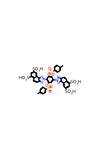 Cc1ccc(S(=O)(=O)Oc2cc(-n3nc4ccc5c(S(=O)(=O)O)cc(S(=O)(=O)O)cc5c4n3)c(OS(=O)(=O)c3ccc(C)cc3)cc2-n2nc3ccc4c(S(=O)(=O)O)cc(S(=O)(=O)O)cc4c3n2)cc1